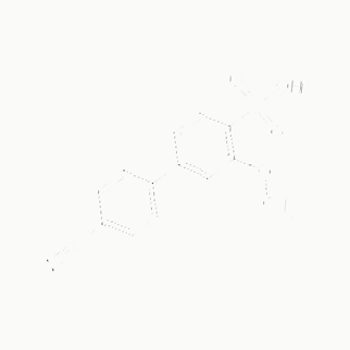 COc1cc(-c2ccc(C#N)cc2)ccc1S(=O)(=O)O